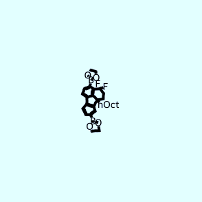 CCCCCCCCC12CCC(F)(F)c3c(B4OCCO4)ccc(c31)-c1ccc(B3OCCO3)cc12